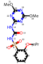 CCCOc1ccccc1S(=O)(=O)NC(=O)Nc1nc(OC)nc(OC)n1